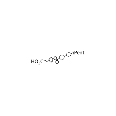 CCCCCC1CCC(C2CCC(C(=O)Oc3ccc(/C=C/C(=O)O)cc3)CC2)CC1